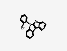 Brc1ccccc1-n1c2ccccc2c2c3ccccc3sc21